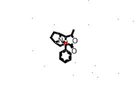 CC1OC(=O)N2CC3CCC(C12)N3Cc1ccccc1